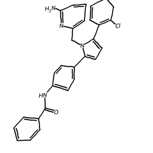 Nc1cccc(Cn2c(C3=C(Cl)CCC=C3)ccc2-c2ccc(NC(=O)c3ccccc3)cc2)n1